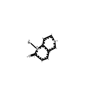 O=c1ccc2cnccc2n1Br